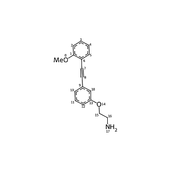 COc1ccccc1C#Cc1cccc(OCCN)c1